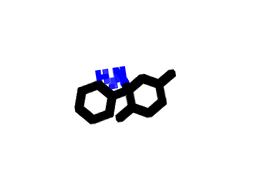 CC1CCC(C)C(N)(C2CCCCC2)C1